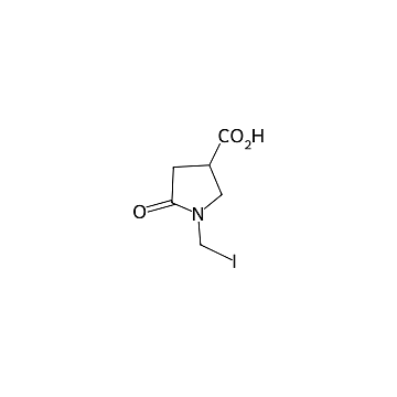 O=C(O)C1CC(=O)N(CI)C1